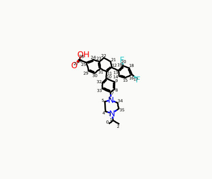 CC(C)N1CCN(c2ccc(C3=C(c4ccc(F)cc4F)CCc4cc(C(=O)O)ccc43)cc2)CC1